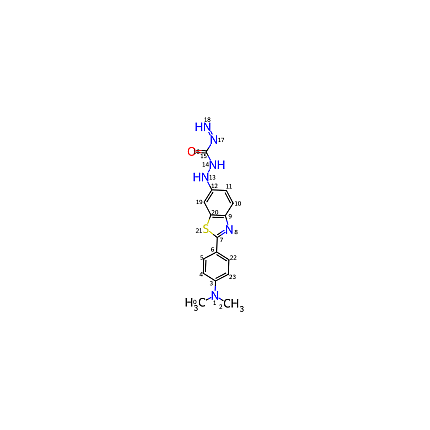 CN(C)c1ccc(-c2nc3ccc(NNC(=O)N=N)cc3s2)cc1